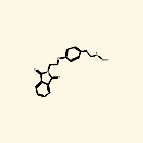 CCCCCCNCCc1ccc(OCCN2C(=O)c3ccccc3C2=O)cc1